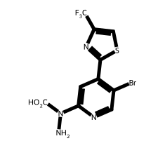 NN(C(=O)O)c1cc(-c2nc(C(F)(F)F)cs2)c(Br)cn1